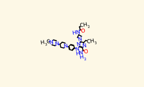 C=CC(=O)NC1CN(c2nc(Nc3ccc(N4CCC(N5CCN(C)CC5)CC4)cc3)c(C(N)=O)nc2CC)C1